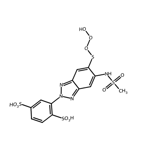 CS(=O)(=O)Nc1cc2nn(-c3cc(S(=O)(=O)O)ccc3S(=O)(=O)O)nc2cc1SOOO